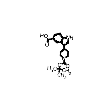 CC(C)(C)OC(=O)N1CC=C(c2c[nH]c3ccc(C(=O)O)cc23)CC1